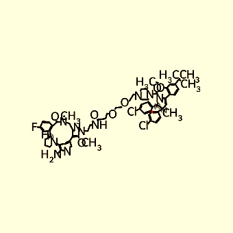 CCOc1cc(C(C)(C)C)ccc1C1=C[C@@](C)(c2ccc(Cl)cc2)[C@@H](c2ccc(Cl)cc2)N1C(=O)N1CCN(CCOCCOCCC(=O)NCCn2nc3c(c2OC)-c2cnc(N)c(c2)N2CCC[C@@H]2c2cc(F)ccc2C(=O)N(C)C3)CC1